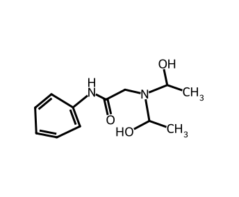 CC(O)N(CC(=O)Nc1ccccc1)C(C)O